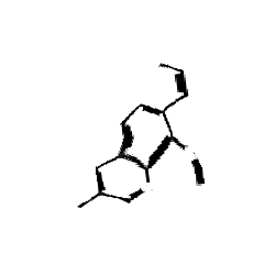 C=Nc1c(/C=C\C)ccc2cc(C)cnc12